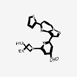 CCC1(O)CN(c2cc(C=O)cc(-c3cnn4ccc(-c5cccs5)nc34)n2)C1